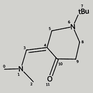 CN(C)/C=C1/CN(C(C)(C)C)CCC1=O